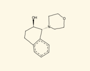 O[C@@H]1CCc2ccccc2[C@H]1N1CCOCC1